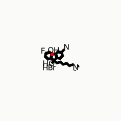 Br.CN(C)CCCCCCC(O)(c1ccc(F)cc1)c1ccc(C#N)cc1CO